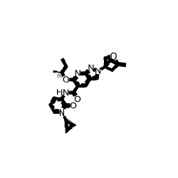 CC[C@H](C)Oc1nc2nn(C34COC(C)(C3)C4)cc2cc1C(=O)Nc1cccn(C2CC2)c1=O